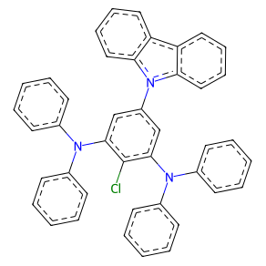 Clc1c(N(c2ccccc2)c2ccccc2)cc(-n2c3ccccc3c3ccccc32)cc1N(c1ccccc1)c1ccccc1